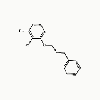 CC(=O)c1c(F)cccc1OCCCc1ccccc1